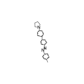 Cc1ccc(N=Nc2ccc(-c3ccc(N4CCCC4)cc3)cc2)cc1